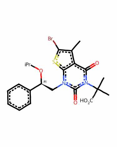 Cc1c(Br)sc2c1c(=O)n(C(C)(C)C(=O)O)c(=O)n2C[C@H](OC(C)C)c1ccccc1